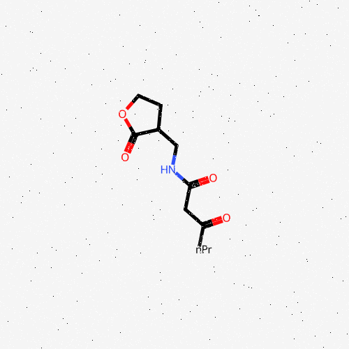 CCCC(=O)CC(=O)NCC1CCOC1=O